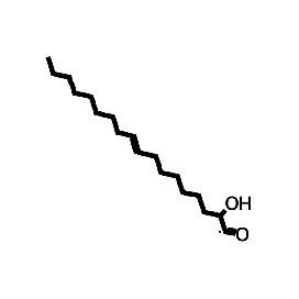 CCCCCCCC/C=C/CCCCCCC(O)[C]=O